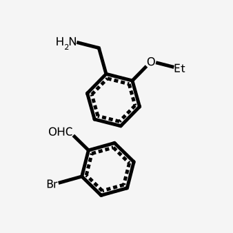 CCOc1ccccc1CN.O=Cc1ccccc1Br